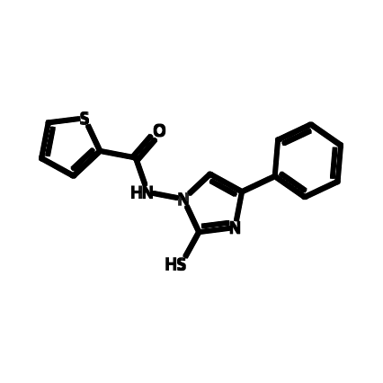 O=C(Nn1cc(-c2ccccc2)nc1S)c1cccs1